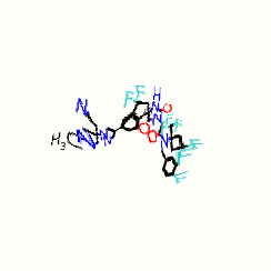 CN1CC(CC#N)(n2cc(-c3ccc4c(c3)C(F)(F)C[C@]43NC(=O)N(CC(=O)N(Cc4ccc(F)cc4)C4(C(F)(F)F)CC(F)(F)C4)C3=O)cn2)C1